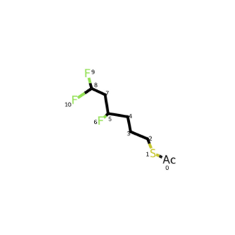 CC(=O)SCCCC(F)CC(F)F